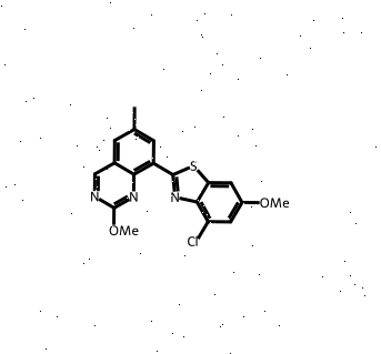 COc1cc(Cl)c2nc(-c3cc(C)cc4cnc(OC)nc34)sc2c1